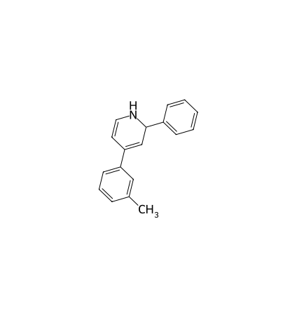 Cc1cccc(C2=CC(c3ccccc3)NC=C2)c1